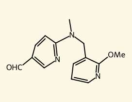 COc1ncccc1CN(C)c1ccc(C=O)cn1